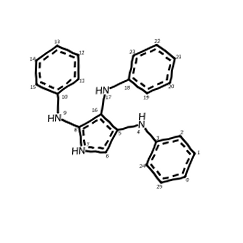 c1ccc(Nc2c[nH]c(Nc3ccccc3)c2Nc2ccccc2)cc1